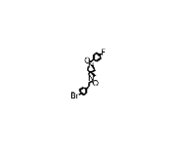 O=C(/C=C/c1ccc(Br)cc1)N1CC2(CCN(C(=O)c3ccc(F)cc3)CC2)C1